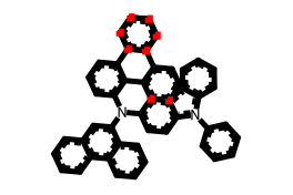 c1ccc(-c2ccccc2-c2c(-c3ccccc3)cccc2N(c2ccc3c(c2)c2ccccc2n3-c2ccccc2)c2cc3ccccc3c3ccccc23)cc1